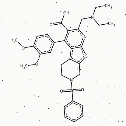 CCN(CC)Cc1nc2sc3c(c2c(-c2ccc(OC)c(OC)c2)c1C(=O)O)CCN(S(=O)(=O)c1ccccc1)C3